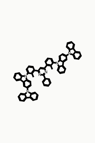 Cc1c(-c2cc(-c3cccc(-n4c5ccccc5c5cc(-n6c7ccccc7c7ccccc76)ccc54)c3C)nc(-c3ccccc3)n2)cccc1-n1c2ccccc2c2cc(-n3c4ccccc4c4ccccc43)ccc21